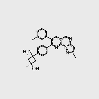 Cc1cccc(-c2cc3cnc4cc(C)nn4c3nc2-c2ccc([C@]3(N)C[C@@](C)(O)C3)cc2)c1